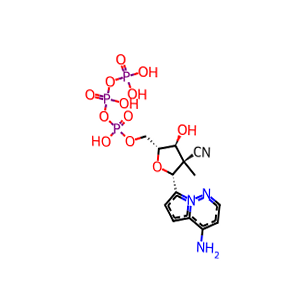 C[C@@]1(C#N)[C@H](O)[C@@H](COP(=O)(O)OP(=O)(O)OP(=O)(O)O)O[C@H]1c1ccc2c(N)ccnn12